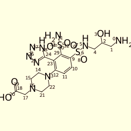 NCC(O)CNS(=O)(=O)c1ccc(N2CCN(CC(=O)O)CC2)c(-c2nnn[nH]2)c1S(N)(=O)=O